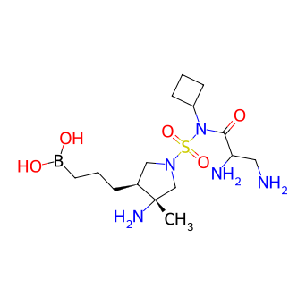 C[C@]1(N)CN(S(=O)(=O)N(C(=O)C(N)CN)C2CCC2)C[C@@H]1CCCB(O)O